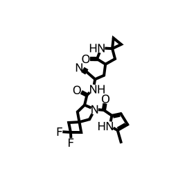 Cc1ccc(C(=O)N2CC3(CC2C(=O)NC(C#N)CC2CC4(CC4)NC2=O)CC(F)(F)C3)[nH]1